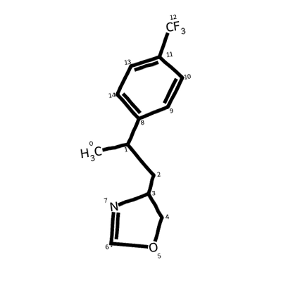 CC(CC1CO[C]=N1)c1ccc(C(F)(F)F)cc1